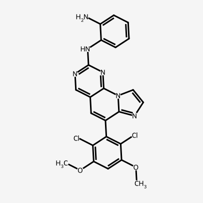 COc1cc(OC)c(Cl)c(-c2cc3cnc(Nc4ccccc4N)nc3n3ccnc23)c1Cl